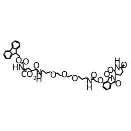 O=C(CC[C@H](NC(=O)OCC1c2ccccc2-c2ccccc21)C(=O)O)NCCCOCCOCCOCCCNC(=O)COc1cccc2c1C(=O)N(C1CCC(=O)NC1=O)C2=O